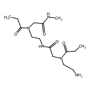 CCC(=O)N(CCNC(=O)CN(CCN)C(=O)CC)CC(=O)NC